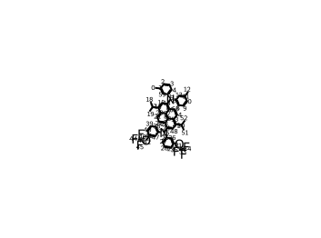 Cc1cccc(N(c2cccc(C)c2)c2cc(C(C)C)c3ccc4c(N(c5cccc(OC(F)(F)F)c5)c5cccc(OC(F)(F)F)c5)cc(C(C)C)c5ccc2c3c54)c1